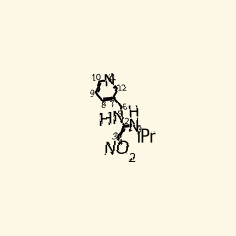 CC(C)NC(=C[N+](=O)[O-])NCc1cccnc1